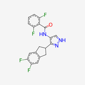 O=C(Nc1c[nH]nc1C1Cc2cc(F)c(F)cc2C1)c1c(F)cccc1F